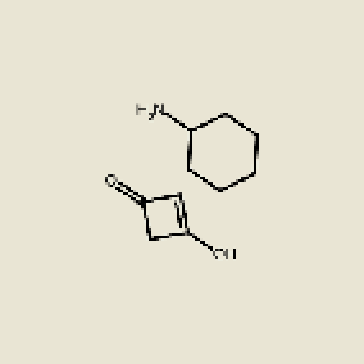 NC1CCCCC1.O=C1C=C(O)C1